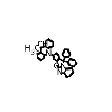 CC1(C)c2ccccc2N(c2ccc3c(c2)Oc2nc4ccccc4n2C3(c2ccccc2)c2ccccc2)c2ccccc21